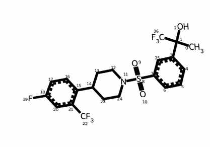 CC(O)(c1cccc(S(=O)(=O)N2CCC(c3ccc(F)cc3C(F)(F)F)CC2)c1)C(F)(F)F